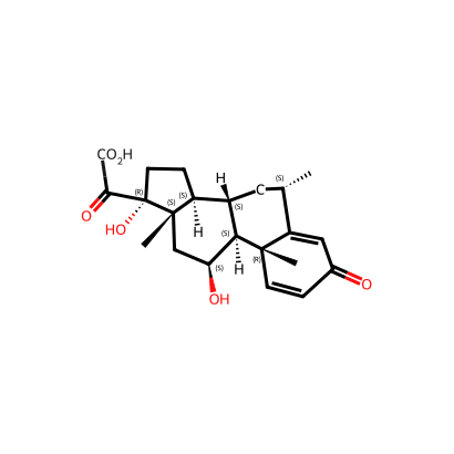 C[C@H]1C[C@@H]2[C@H]([C@@H](O)C[C@@]3(C)[C@H]2CC[C@]3(O)C(=O)C(=O)O)[C@@]2(C)C=CC(=O)C=C12